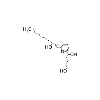 CCCCCCCCC(O)/C=C/c1cccc(C(O)CCCCO)n1